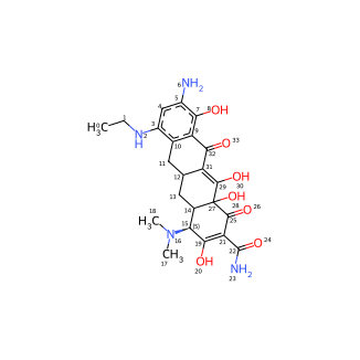 CCNc1cc(N)c(O)c2c1CC1CC3[C@H](N(C)C)C(O)=C(C(N)=O)C(=O)C3(O)C(O)=C1C2=O